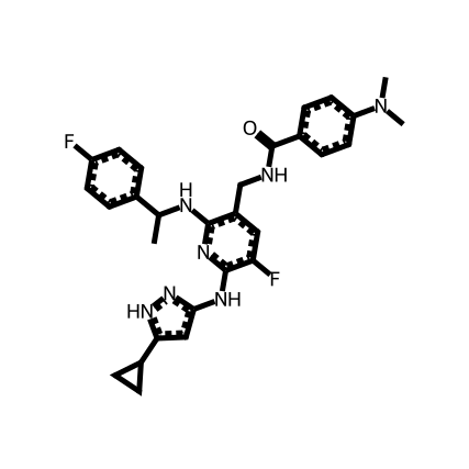 CC(Nc1nc(Nc2cc(C3CC3)[nH]n2)c(F)cc1CNC(=O)c1ccc(N(C)C)cc1)c1ccc(F)cc1